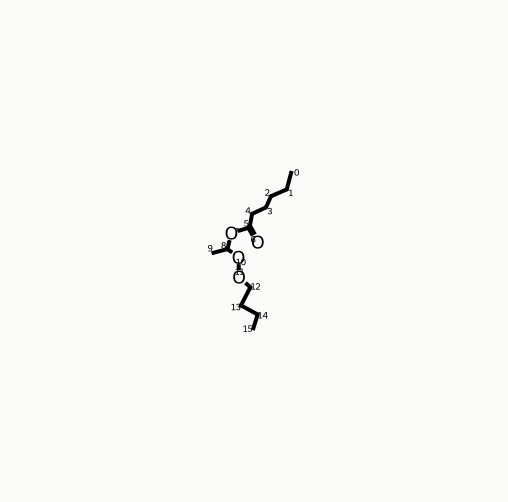 CCCCCC(=O)OC(C)OOCCCC